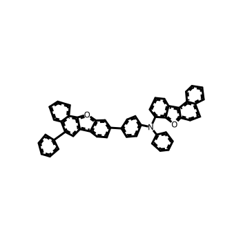 c1ccc(-c2cc3c4ccc(-c5ccc(N(c6ccccc6)c6cccc7c6oc6ccc8ccccc8c67)cc5)cc4oc3c3ccccc23)cc1